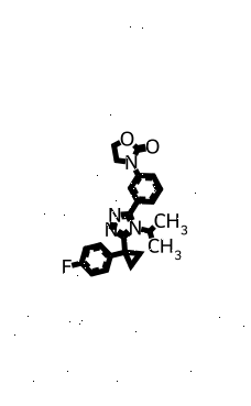 CC(C)n1c(-c2cccc(N3CCOC3=O)c2)nnc1C1(c2ccc(F)cc2)CC1